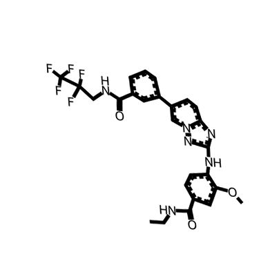 CCNC(=O)c1ccc(Nc2nc3ccc(-c4cccc(C(=O)NCC(F)(F)C(F)(F)F)c4)cn3n2)c(OC)c1